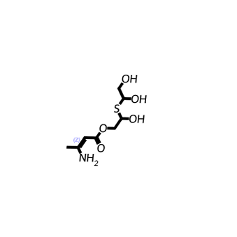 C/C(N)=C/C(=O)OCC(O)SC(O)CO